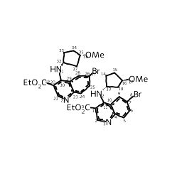 CCOC(=O)c1cnc2ccc(Br)cc2c1N[C@@H]1CC[C@@H](OC)C1.CCOC(=O)c1cnc2ccc(Br)cc2c1N[C@H]1CC[C@H](OC)C1